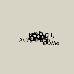 COC(=O)CC[C@@H](C)C1CCC2C3CC[C@H]4C[C@@H](OC(C)=O)CC[C@]4(C)C3=CC(=O)[C@@]21C